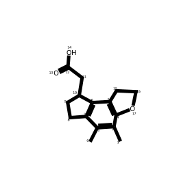 Cc1c(C)c2c(c3c1CCC3CC(=O)O)CCO2